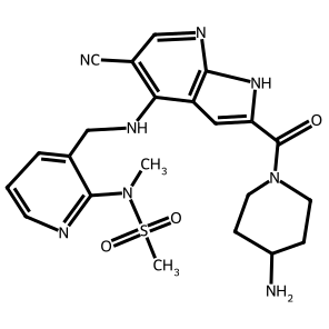 CN(c1ncccc1CNc1c(C#N)cnc2[nH]c(C(=O)N3CCC(N)CC3)cc12)S(C)(=O)=O